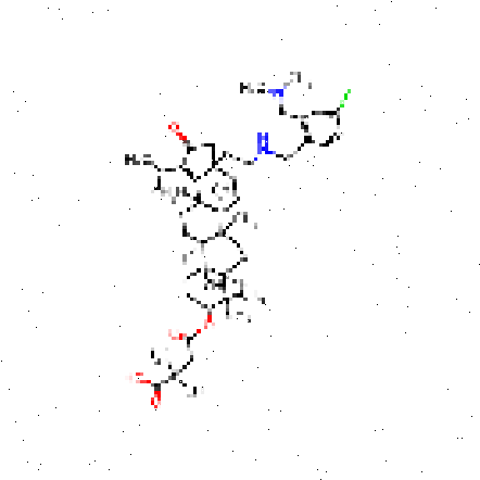 CC(C)C1=C2[C@H]3CC[C@@H]4[C@@]5(C)CC[C@H](OC(=O)CC(C)(C)C(=O)O)C(C)(C)[C@@H]5CC[C@@]4(C)[C@]3(C)CC[C@@]2(CCNCc2ccc(Cl)cc2CN(C)C)CC1=O